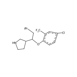 CC(C)CC(Oc1ccc(Cl)cc1C(F)(F)F)C1CCNC1